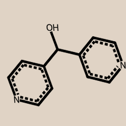 OC(c1ccncc1)c1ccncc1